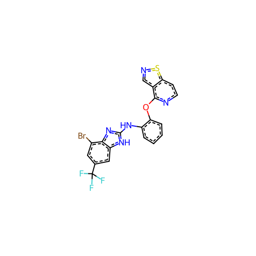 FC(F)(F)c1cc(Br)c2nc(Nc3ccccc3Oc3nccc4sncc34)[nH]c2c1